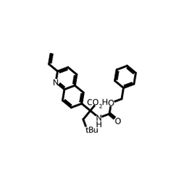 C=Cc1ccc2cc(C(CC(C)(C)C)(NC(=O)OCc3ccccc3)C(=O)O)ccc2n1